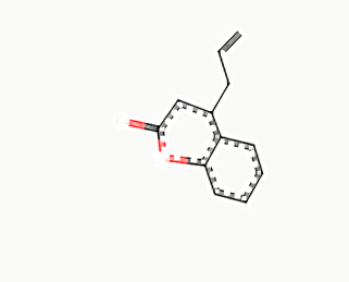 C=CCc1cc(=O)oc2c[c]ccc12